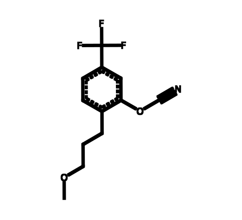 COCCCc1ccc(C(F)(F)F)cc1OC#N